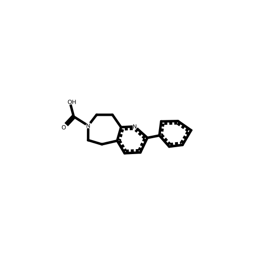 O=C(O)N1CCc2ccc(-c3ccccc3)nc2CC1